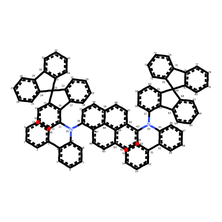 c1ccc(-c2ccccc2N(c2cccc3c2-c2ccccc2C32c3ccccc3-c3ccccc32)c2ccc3ccc4c(N(c5ccccc5-c5ccccc5)c5cccc6c5-c5ccccc5C65c6ccccc6-c6ccccc65)ccc5ccc2c3c54)cc1